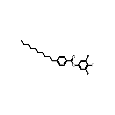 CCCCCCCCCCc1ccc(C(=O)Oc2cc(F)c(F)c(F)c2)cc1